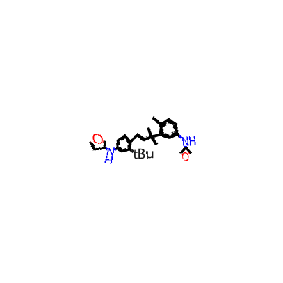 Cc1ccc(NC2COC2)cc1C(C)(C)CCc1ccc(NC2CCOC2)cc1C(C)(C)C